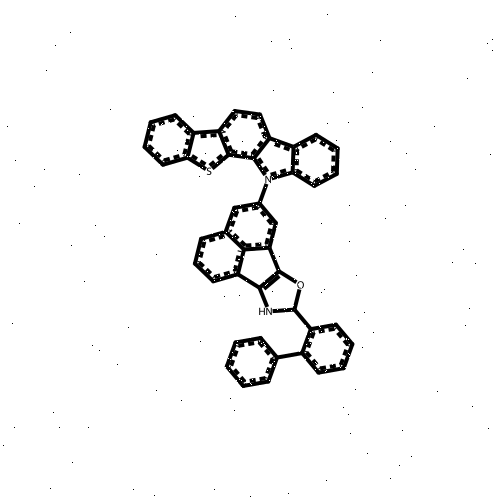 c1ccc(-c2ccccc2C2NC3=C(O2)c2cc(-n4c5ccccc5c5ccc6c7ccccc7sc6c54)cc4cccc3c24)cc1